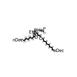 CCCCCCCCCCCCCCCCCCOCC(CP(=O)(O)CC)OCCCCCCCCCCCCCCCC.CN(C)C